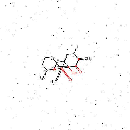 C=C1C(=O)C23CC[C@@H](CC2[C@@]24CCC[C@@](C)(CO[C@H]2CO)C14)C(=C)C3=O